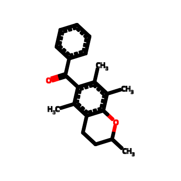 C[C]1CCc2c(C)c(C(=O)c3ccccc3)c(C)c(C)c2O1